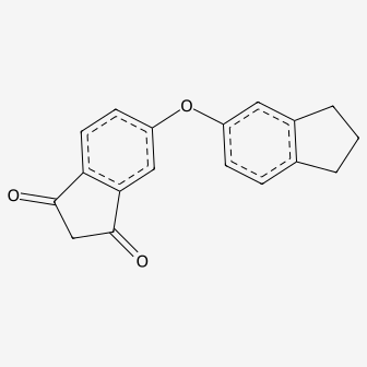 O=C1CC(=O)c2cc(Oc3ccc4c(c3)CCC4)ccc21